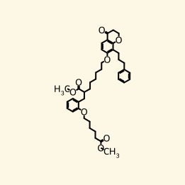 COC(=O)CCCCCOc1ccccc1CC(CCCCCCOc1ccc2c(c1CCCc1ccccc1)OCCC2=O)C(=O)OC